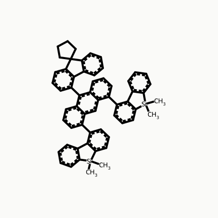 C[Si]1(C)c2ccccc2-c2c(-c3cccc4c(-c5cccc6c5-c5ccccc5C65CCCC5)c5cccc(-c6cccc7c6-c6ccccc6[Si]7(C)C)c5cc34)cccc21